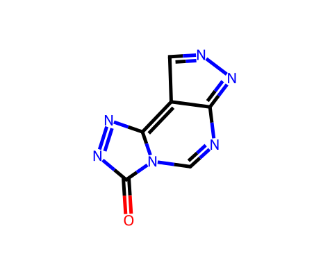 O=C1N=Nc2c3cnnc-3ncn21